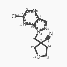 N#CC1(Cn2ncc3ncc(Cl)nc32)CCOC1